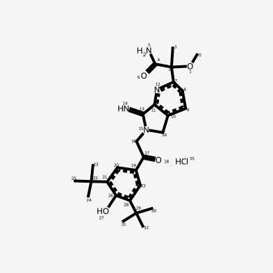 COC(C)(C(N)=O)c1ccc2c(n1)C(=N)N(CC(=O)c1cc(C(C)(C)C)c(O)c(C(C)(C)C)c1)C2.Cl